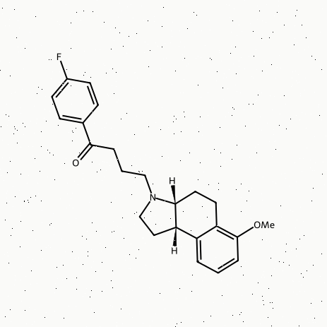 COc1cccc2c1CC[C@@H]1[C@H]2CCN1CCCC(=O)c1ccc(F)cc1